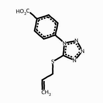 C=CCSc1nnnn1-c1ccc(C(=O)O)cc1